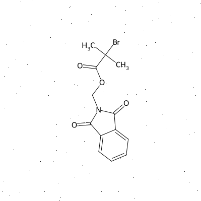 CC(C)(Br)C(=O)OCN1C(=O)c2ccccc2C1=O